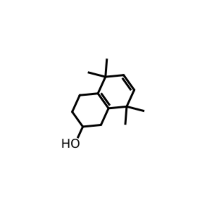 CC1(C)C=CC(C)(C)C2=C1CCC(O)C2